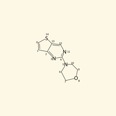 c1cc2nc(N3CCOCC3)ncc2s1